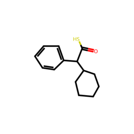 O=C(S)C(c1ccccc1)C1CCCCC1